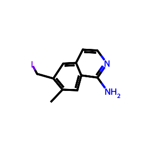 Cc1cc2c(N)nccc2cc1CI